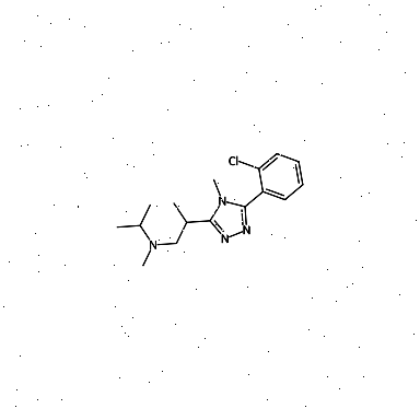 CC(CN(C)C(C)C)c1nnc(-c2ccccc2Cl)n1C